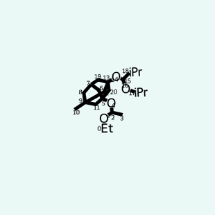 CCOC(C)OC12CC3CC(C)(C1)CC(OC(OC(C)C)C(C)C)(C3)C2